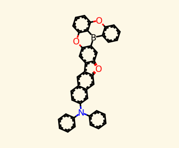 c1ccc(N(c2ccccc2)c2ccc3cc4c(cc3c2)oc2cc3c(cc24)Oc2cccc4c2B3c2ccccc2O4)cc1